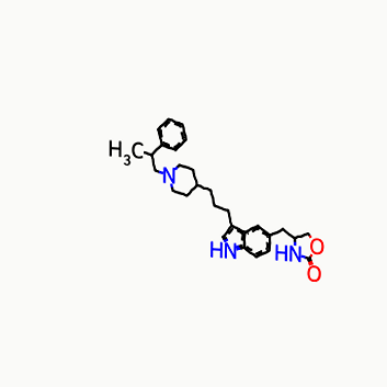 CC(CN1CCC(CCCc2c[nH]c3ccc(CC4COC(=O)N4)cc23)CC1)c1ccccc1